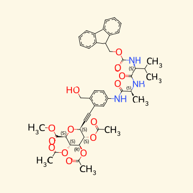 COC(=O)[C@H]1O[C@@H](C#Cc2cc(NC(=O)[C@H](C)NC(=O)[C@@H](NC(=O)OCC3c4ccccc4-c4ccccc43)C(C)C)ccc2CO)[C@H](OC(C)=O)[C@@H](OC(C)=O)[C@@H]1OC(C)=O